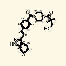 CC(C)(CO)C(=O)N1CCN(C(=O)c2ccc(/C=C/c3n[nH]c4ccccc34)cc2)CC1